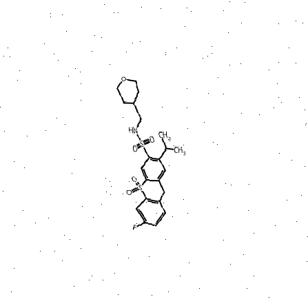 CC(C)c1cc2c(cc1S(=O)(=O)NCC1CCOCC1)S(=O)(=O)c1cc(F)ccc1C2